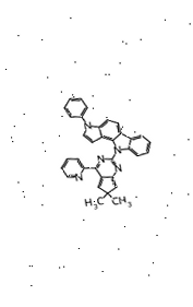 CC1(C)C=c2nc(-n3c4ccccc4c4ccc5c(ccn5-c5ccccc5)c43)nc(-c3ccccn3)c2=C1